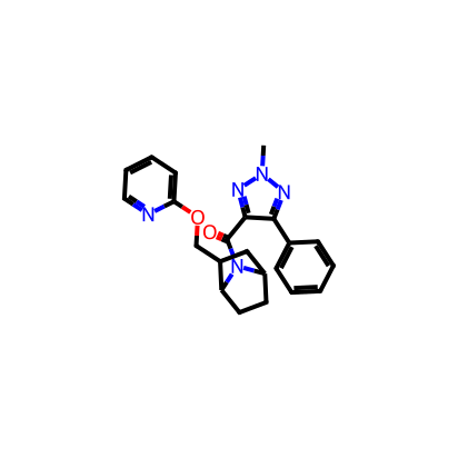 Cn1nc(C(=O)N2C3CCC2C(COc2ccccn2)C3)c(-c2ccccc2)n1